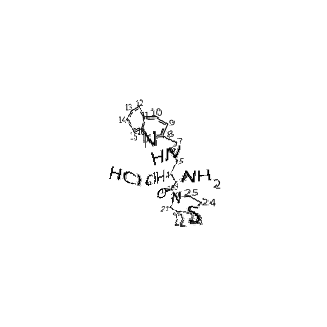 Cl.Cl.N[C@@H](CCNCc1ccc2ccccc2n1)C(=O)N1CCSCC1